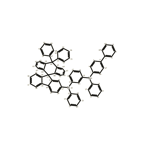 c1ccc(-c2ccc(N(c3ccccc3)c3cccc(N(c4ccccc4)c4ccc5c(c4)C4(c6ccccc6-5)c5ccccc5C(c5ccccc5)(c5ccccc5)c5ccccc54)c3)cc2)cc1